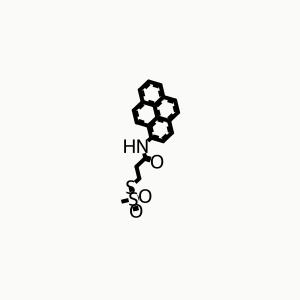 CS(=O)(=O)SCCC(=O)Nc1ccc2ccc3cccc4ccc1c2c34